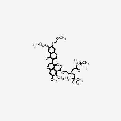 COCOc1cc2c(cc1OCOC)C(=O)C(c1coc3cc(C)c(C)c(C(=O)OCCN(CC(=O)OC(C)(C)C)CC(C)(C)C)c3c1=O)=CC2